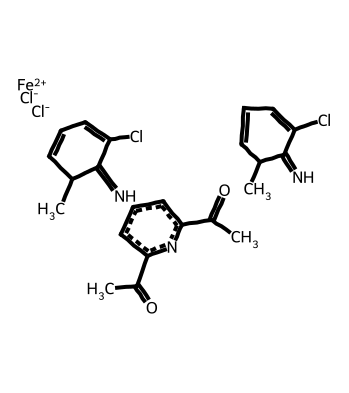 CC(=O)c1cccc(C(C)=O)n1.CC1C=CC=C(Cl)C1=N.CC1C=CC=C(Cl)C1=N.[Cl-].[Cl-].[Fe+2]